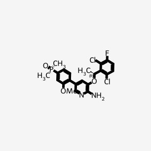 COc1cc(P(C)(C)=O)ccc1-c1cnc(N)c(O[C@H](C)c2c(Cl)ccc(F)c2Cl)c1